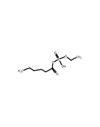 CCCCCC(=O)OP(=O)(O)OCC